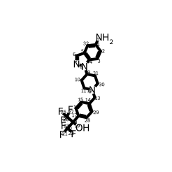 Nc1ccc2c(cnn2C2CCN(Cc3ccc(C(O)(C(F)(F)F)C(F)(F)F)cc3)CC2)c1